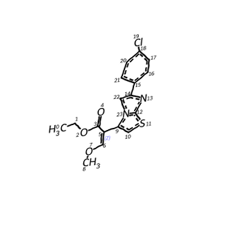 CCOC(=O)/C(=C\OC)c1csc2nc(-c3ccc(Cl)cc3)cn12